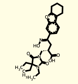 CCN1C(=O)N(C[C@H](CC(=NO)c2ccc3c4c(oc3c2)CCCC4)C(=O)O)C(=O)C1(CC)CC